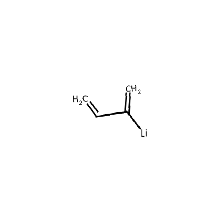 [Li][C](=C)C=C